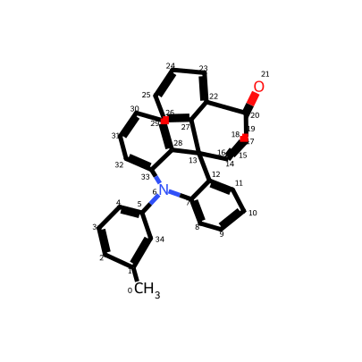 Cc1cccc(N2c3ccccc3C3(c4ccccc4C(=O)c4ccccc43)c3ccccc32)c1